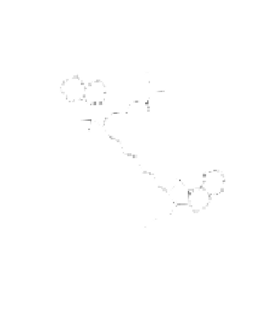 CCN(CC)C(=O)CC[N+]1=C(/C=C/C=C/C=C/C=C2/N(CCC(=O)O)c3ccc4ccccc4c3C2(C)C)C(C)(C)c2c1ccc1ccccc21